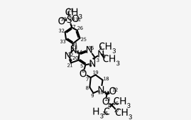 CN(C)c1nc(OC2CCN(C(=O)OC(C)(C)C)CC2)c2cnn(-c3ccc(S(C)(=O)=O)cc3)c2n1